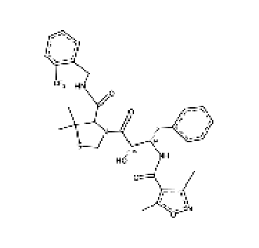 Cc1noc(C)c1C(=O)N[C@@H](Cc1ccccc1)[C@H](O)C(=O)N1CSC(C)(C)C1C(=O)NCc1ccccc1C(F)(F)F